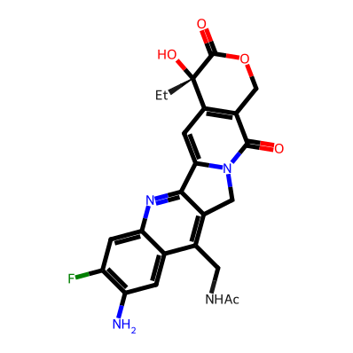 CC[C@@]1(O)C(=O)OCc2c1cc1n(c2=O)Cc2c-1nc1cc(F)c(N)cc1c2CNC(C)=O